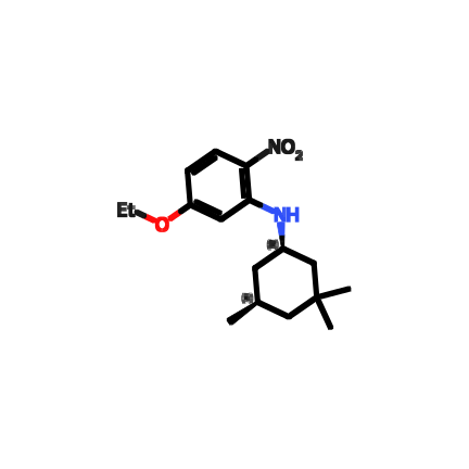 CCOc1ccc([N+](=O)[O-])c(N[C@@H]2C[C@H](C)CC(C)(C)C2)c1